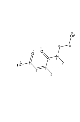 CC(=CC(=O)O)C(=O)N(C)CCO